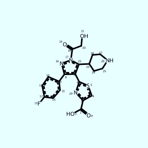 O=C(O)c1csc(-c2c(-c3ccc(F)cc3)nn(C(=O)CO)c2C2CCNCC2)n1